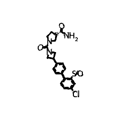 NC(=O)[C@H]1CCN(C(=O)N2CC(c3ccc(-c4ccc(Cl)cc4[S+]=O)cc3)C2)C1